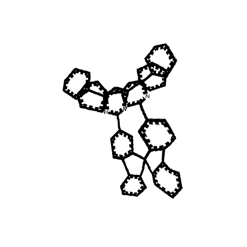 c1ccc(-c2cc(-c3ccccc3)nc(-c3ccc4c(c3)C3(c5ccccc5-4)c4ccccc4-c4ccc(-c5nc(-c6ccccc6)cc(-c6ccccc6)n5)cc43)n2)cc1